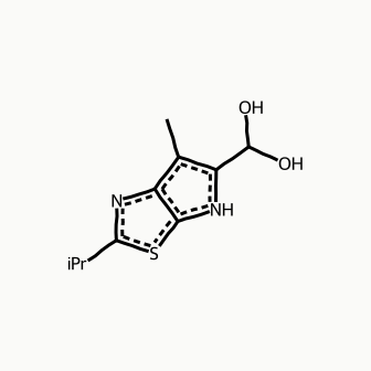 Cc1c(C(O)O)[nH]c2sc(C(C)C)nc12